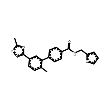 Cc1nnc(-c2ccc(C)c(-c3ccc(C(=O)NCc4ccco4)cc3)c2)o1